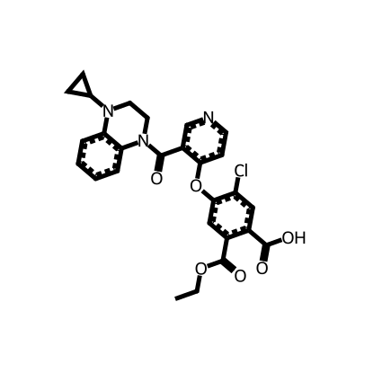 CCOC(=O)c1cc(Oc2ccncc2C(=O)N2CCN(C3CC3)c3ccccc32)c(Cl)cc1C(=O)O